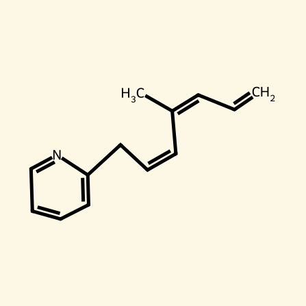 C=C/C=C(C)\C=C/Cc1ccccn1